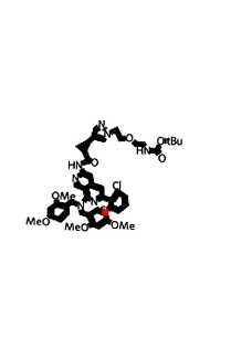 COc1ccc(CN(Cc2ccc(OC)cc2OC)c2nc(-c3c(Cl)cccc3Cl)cc3cc(NC(=O)C4CC4c4cnn(CCOCCNC(=O)OC(C)(C)C)c4)ncc23)c(OC)c1